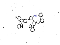 C1=C\c2ccc(-c3ccc4c(c3)c3ccncc3n4-c3ccccn3)cc2-c2cc3oc4ccccc4c3cc2Oc2ccccc2-c2ccccc2/1